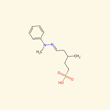 [CH2]C(CC=NN(C)c1ccccc1)CCS(=O)(=O)O